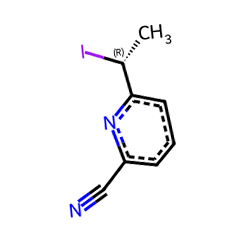 C[C@@H](I)c1cccc(C#N)n1